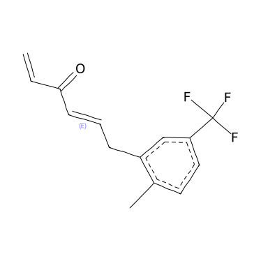 C=CC(=O)/C=C/Cc1cc(C(F)(F)F)ccc1C